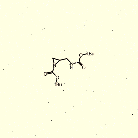 CC(C)(C)OC(=O)NCC1CN1C(=O)OC(C)(C)C